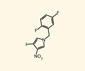 O=[N+]([O-])c1cn(Cc2cc(F)ccc2F)cc1I